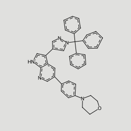 c1ccc(C(c2ccccc2)(c2ccccc2)n2cc(-c3c[nH]c4ncc(-c5ccc(N6CCOCC6)cc5)cc34)cn2)cc1